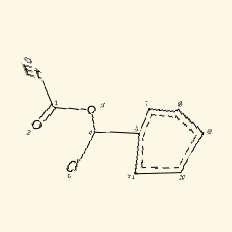 CCC(=O)OC(Cl)c1ccccc1